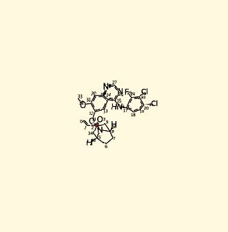 C=CC(=O)N1[C@@H]2CC[C@H]1C[C@H](Oc1cc3c(Nc4ccc(Cl)c(Cl)c4F)ncnc3cc1OC)C2